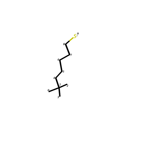 CC(C)(C)CCCCC[S]